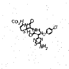 Nc1nc(C(=NOc2ccc(Cl)cc2)C(=O)NC2C(=O)N3C(C(=O)O)=CCS[C@@H]23)ns1